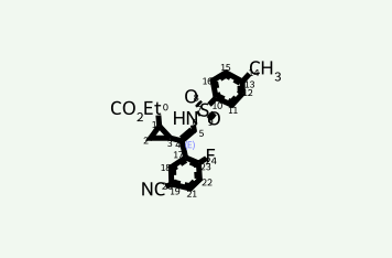 CCOC(=O)C1CC1/C(=C\NS(=O)(=O)c1ccc(C)cc1)c1cc(C#N)ccc1F